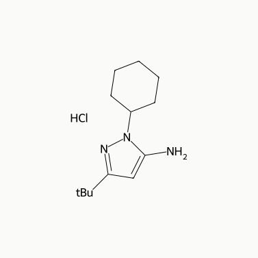 CC(C)(C)c1cc(N)n(C2CCCCC2)n1.Cl